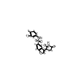 Cc1ccc(NS(=O)(=O)c2ccc3occ(C4CCC(=O)NC4=O)c3c2)cc1Cl